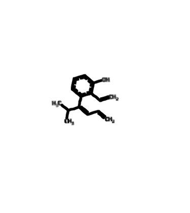 C=C/C=C(\c1cccc(O)c1C=C)C(C)C